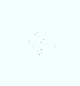 Cc1noc(C)c1NC(=O)N1C[C@@H](O)CC1c1nnc(C)n1Cc1ccc(Cl)cc1